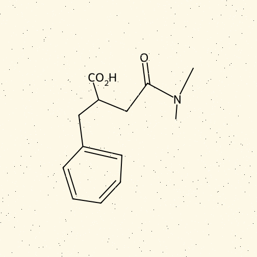 CN(C)C(=O)CC(Cc1ccccc1)C(=O)O